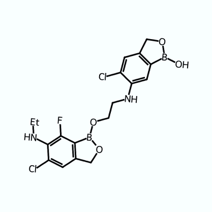 CCNc1c(Cl)cc2c(c1F)B(OCCNc1cc3c(cc1Cl)COB3O)OC2